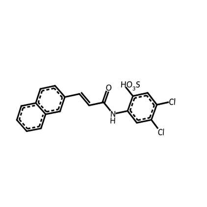 O=C(C=Cc1ccc2ccccc2c1)Nc1cc(Cl)c(Cl)cc1S(=O)(=O)O